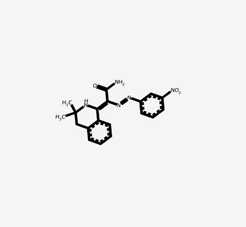 CC1(C)Cc2ccccc2/C(=C(\N=N\c2cccc([N+](=O)[O-])c2)C(N)=O)N1